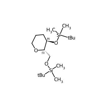 CC(C)(C)[Si](C)(C)OC[C@@H]1OCCC[C@H]1O[Si](C)(C)C(C)(C)C